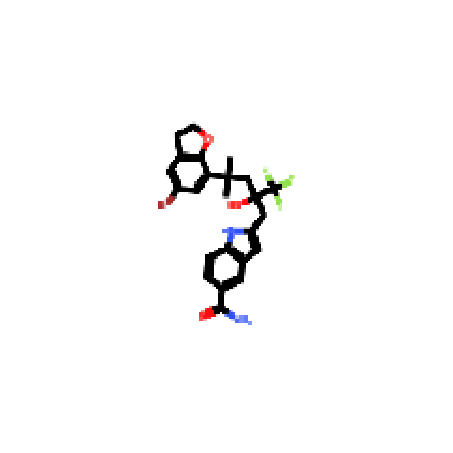 CC(C)(CC(O)(Cc1cc2cc(C(N)=O)ccc2[nH]1)C(F)(F)F)c1cc(Br)cc2c1OCC2